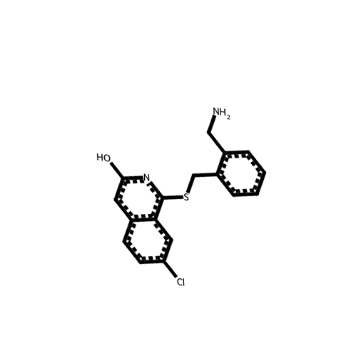 NCc1ccccc1CSc1nc(O)cc2ccc(Cl)cc12